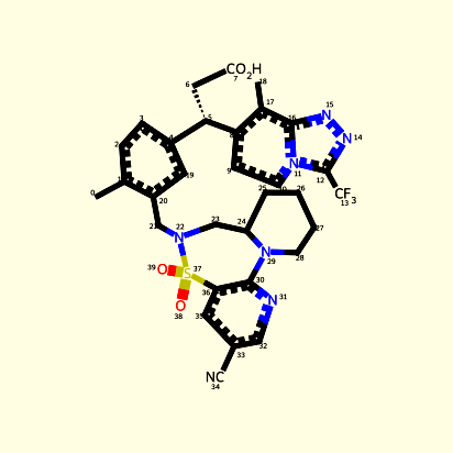 Cc1ccc([C@H](CC(=O)O)c2ccn3c(C(F)(F)F)nnc3c2C)cc1CN1CC2CCCCN2c2ncc(C#N)cc2S1(=O)=O